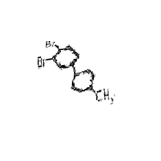 [CH2]c1ccc(-c2ccc(Br)c(Br)c2)cc1